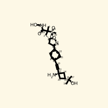 CC(C[C@H]1CC(c2ccc(C#C[C@]3(N)C[C@H](C(C)(C)O)C3)cc2)=NO1)(C(=O)NO)S(C)(=O)=O